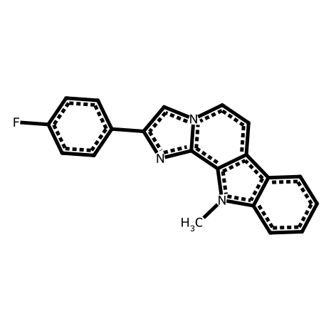 Cn1c2ccccc2c2ccn3cc(-c4ccc(F)cc4)nc3c21